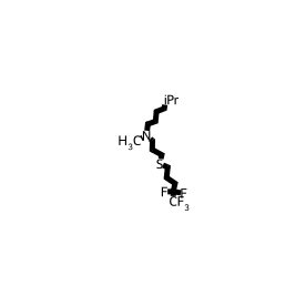 CC(C)CCCCN(C)CCCSCCCC(F)(F)C(F)(F)F